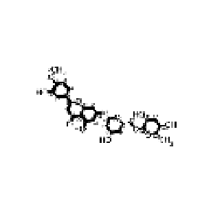 COc1ccc(C2CC(=O)c3c(O)cc(O[C@H]4C[C@@H](O)C[C@@H](CO[C@@H]5O[C@@H](C)[C@H](O)C[C@H]5O)O4)cc3O2)cc1O